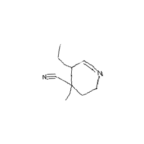 CCC1C=NCCC1(C)C#N